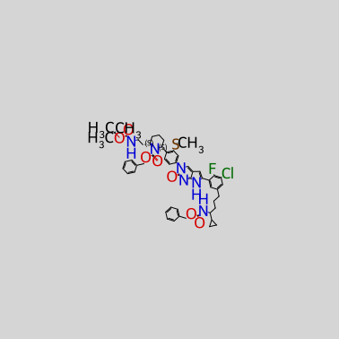 CSc1cc(-n2cc3cc(-c4cc(CCCC(NC(=O)OCc5ccccc5)C5CC5)cc(Cl)c4F)[nH]c3nc2=O)ccc1[C@@H]1CCC[C@@H](CCNC(=O)OC(C)(C)C)N1C(=O)OCc1ccccc1